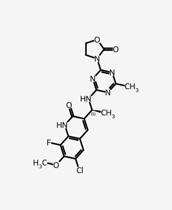 COc1c(Cl)cc2cc([C@H](C)Nc3nc(C)nc(N4CCOC4=O)n3)c(=O)[nH]c2c1F